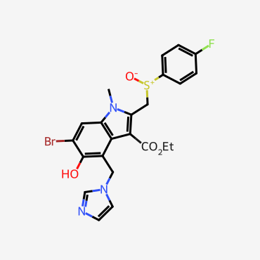 CCOC(=O)c1c(C[S+]([O-])c2ccc(F)cc2)n(C)c2cc(Br)c(O)c(Cn3ccnc3)c12